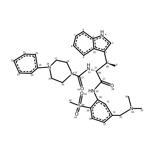 C[C@H](c1c[nH]c2ccccc12)[C@@H](NC(=O)N1CCN(c2ccccc2)CC1)C(=O)Nc1cc(CN(C)C)ccc1S(C)(=O)=O